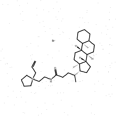 C=CC[N+]1(CCNC(=O)CCC(C)[C@H]2CC[C@H]3[C@@H]4CCC5CCCC[C@]5(C)[C@H]4CC[C@]23C)CCCC1.[Br-]